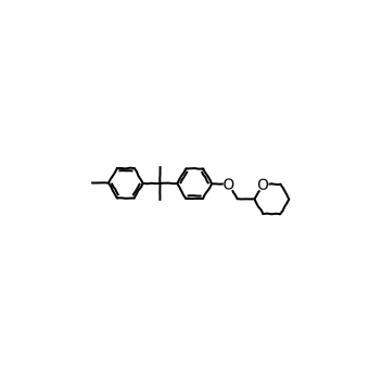 Cc1ccc(C(C)(C)c2ccc(OCC3CCCCO3)cc2)cc1